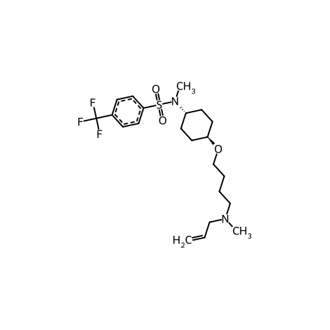 C=CCN(C)CCCCO[C@H]1CC[C@H](N(C)S(=O)(=O)c2ccc(C(F)(F)F)cc2)CC1